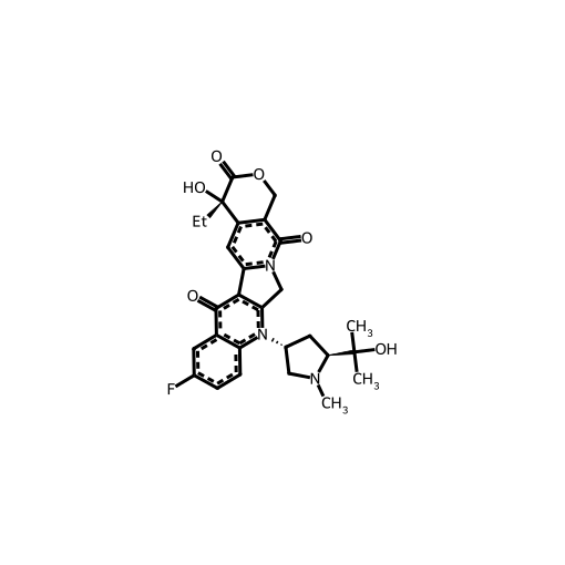 CC[C@@]1(O)C(=O)OCc2c1cc1n(c2=O)Cc2c-1c(=O)c1cc(F)ccc1n2[C@@H]1C[C@@H](C(C)(C)O)N(C)C1